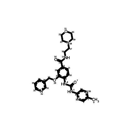 Cc1cnc(NC(=O)Nc2ccc(C(=O)NCCN3CCOCC3)cc2OCc2cccnc2)cn1